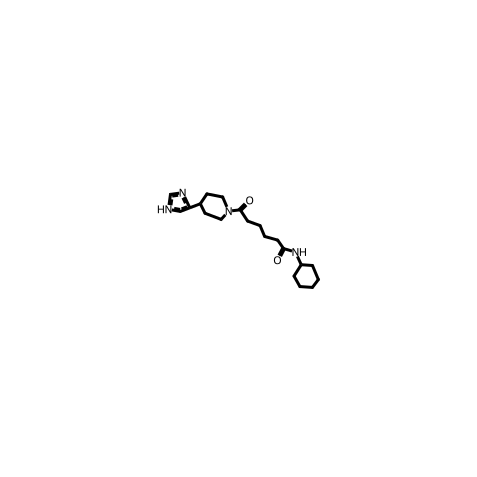 O=C(CCCCC(=O)N1CCC(c2c[nH]cn2)CC1)NC1CCCCC1